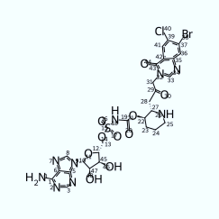 Nc1ncnc2c1ncn2[C@@H]1O[C@H](COS(=O)(=O)NC(=O)O[C@@H]2CCCN[C@H]2CC(=O)Cn2cnc3cc(Br)c(Cl)cc3c2=O)[C@@H](O)[C@H]1O